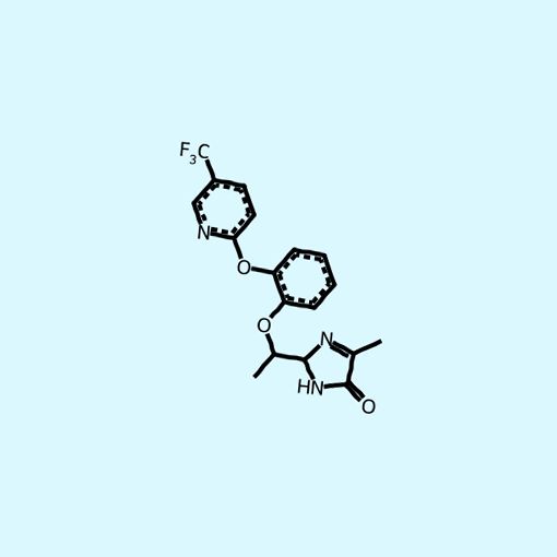 CC1=NC(C(C)Oc2ccccc2Oc2ccc(C(F)(F)F)cn2)NC1=O